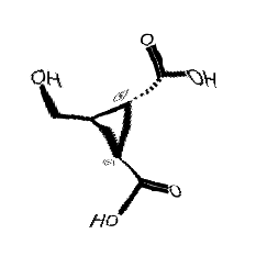 O=C(O)[C@H]1C(CO)[C@@H]1C(=O)O